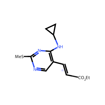 CCOC(=O)/C=C/c1cnc(SC)nc1NC1CC1